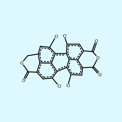 O=C1OCc2cc(Cl)c3c4c(Cl)cc5c6c(cc(Cl)c(c7c(Cl)cc1c2c37)c64)C(=O)OC5=O